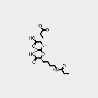 CCC(=O)NCCCC[C@H](OC(=O)N[C@@H](CCC(=O)O)C(=O)O)C(=O)O